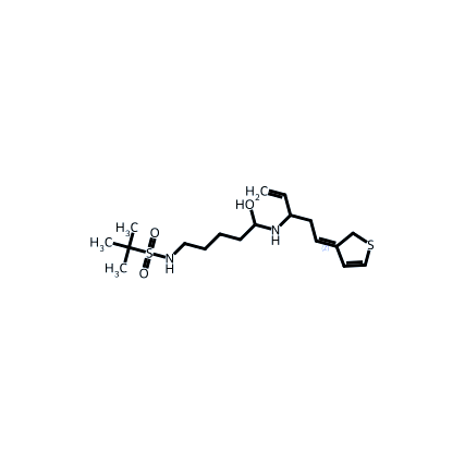 C=CC(C/C=C1/C=CSC1)NC(O)CCCCNS(=O)(=O)C(C)(C)C